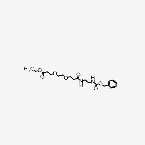 CCOC(=O)CCOCCOCCC(=O)NCCNC(=O)OCc1ccccc1